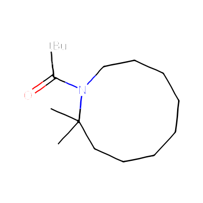 CC(C)(C)C(=O)N1CCCCCCCCC1(C)C